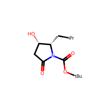 CC(C)C[C@H]1[C@@H](O)CC(=O)N1C(=O)OC(C)(C)C